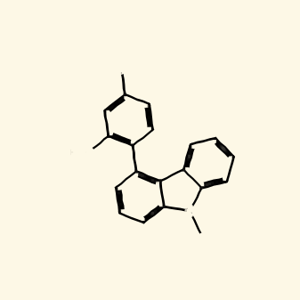 Cn1c2ccccc2c2c(-c3ccc(Br)cc3C(=O)O)cccc21